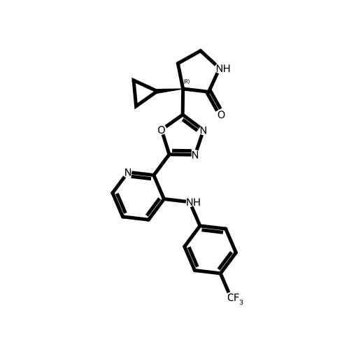 O=C1NCC[C@]1(c1nnc(-c2ncccc2Nc2ccc(C(F)(F)F)cc2)o1)C1CC1